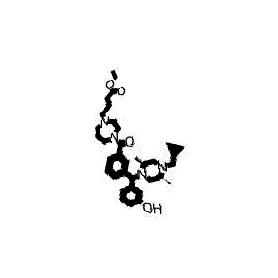 CCOC(=O)CCCN1CCCN(C(=O)c2cccc(C(c3cccc(O)c3)N3C[C@@H](C)N(CC4CC4)C[C@@H]3C)c2)CC1